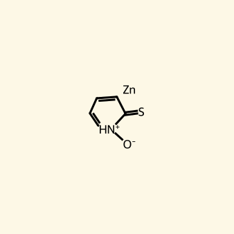 [O-][NH+]1C=CC=CC1=S.[Zn]